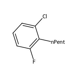 C[CH]CCCc1c(F)cccc1Cl